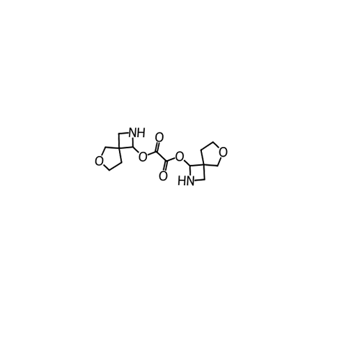 O=C(OC1NCC12CCOC2)C(=O)OC1NCC12CCOC2